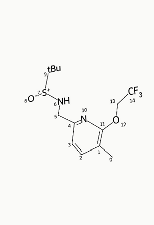 Cc1ccc(CN[S+]([O-])C(C)(C)C)nc1OCC(F)(F)F